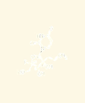 C=CC[C@]1(O)[C@H](n2ccc(=O)[nH]c2=O)O[C@](F)(CO)[C@H]1O